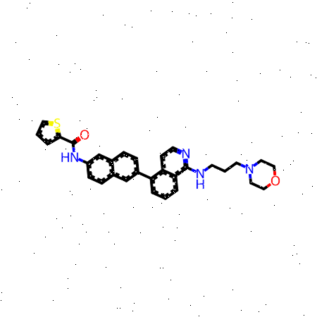 O=C(Nc1ccc2cc(-c3cccc4c(NCCCN5CCOCC5)nccc34)ccc2c1)c1cccs1